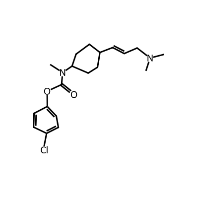 CN(C)C/C=C/C1CCC(N(C)C(=O)Oc2ccc(Cl)cc2)CC1